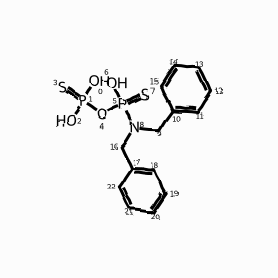 OP(O)(=S)OP(O)(=S)N(Cc1ccccc1)Cc1ccccc1